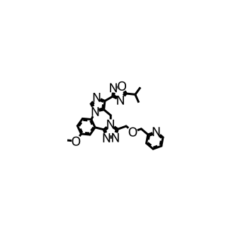 COc1ccc2c(c1)-c1nnc(COCc3ccccn3)n1Cc1c(-c3noc(C(C)C)n3)ncn1-2